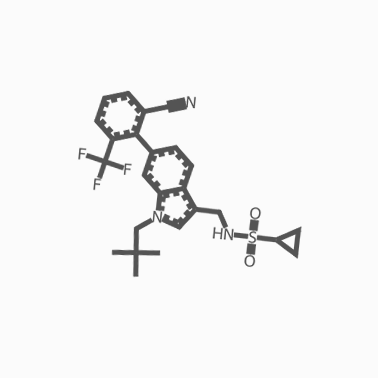 CC(C)(C)Cn1cc(CNS(=O)(=O)C2CC2)c2ccc(-c3c(C#N)cccc3C(F)(F)F)cc21